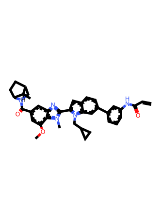 C=CC(=O)Nc1cccc(-c2ccc3cc(-c4nc5cc(C(=O)N6CC7CCC6[C@@H]7C)cc(OC)c5n4C)n(CC4CC4)c3c2)c1